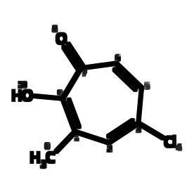 Cc1cc(Cl)ccc(=O)c1O